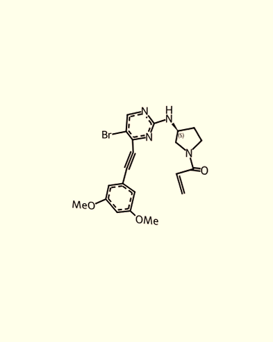 C=CC(=O)N1CC[C@H](Nc2ncc(Br)c(C#Cc3cc(OC)cc(OC)c3)n2)C1